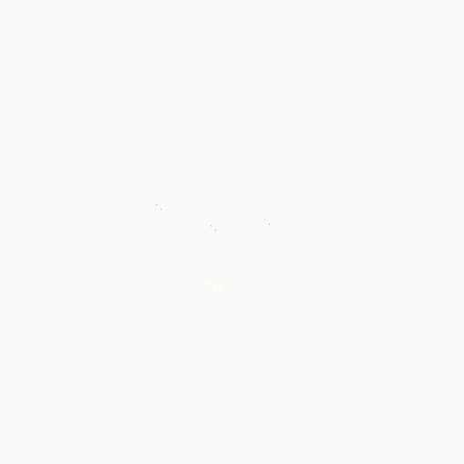 CC(C)N1CCN2c3ncc(C(F)(F)F)cc3OCC2C1